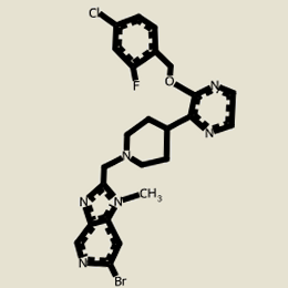 Cn1c(CN2CCC(c3nccnc3OCc3ccc(Cl)cc3F)CC2)nc2cnc(Br)cc21